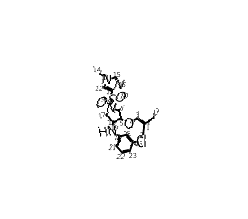 CC(C)COC1CN(S(=O)(=O)c2cn(C)cn2)CC1Nc1cccc(Cl)c1